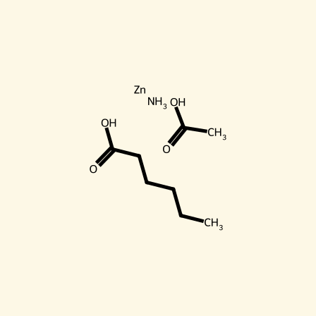 CC(=O)O.CCCCCC(=O)O.N.[Zn]